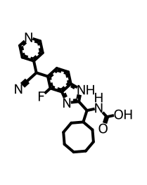 N#CC(c1ccncc1)c1ccc2[nH]c(C(NC(=O)O)C3CCCCCCC3)nc2c1F